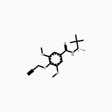 C#CCOc1c(OC)cc(C(=O)N[C@@H](C)C(C)(C)C)cc1OC